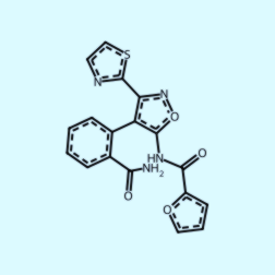 NC(=O)c1ccccc1-c1c(-c2nccs2)noc1NC(=O)c1ccco1